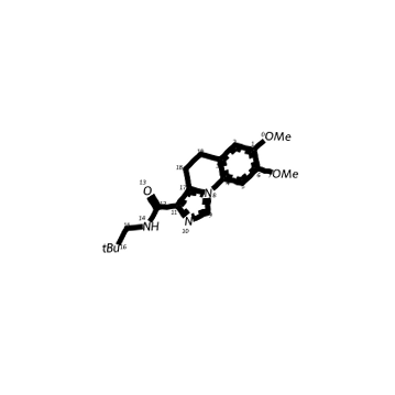 COc1cc2c(cc1OC)-n1cnc(C(=O)NCC(C)(C)C)c1CC2